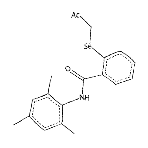 CC(=O)C[Se]c1ccccc1C(=O)Nc1c(C)cc(C)cc1C